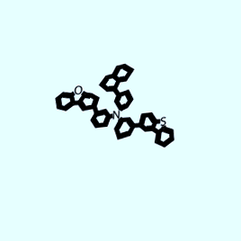 c1cc(-c2ccc3oc4ccccc4c3c2)cc(N(c2cccc(-c3ccc4sc5ccccc5c4c3)c2)c2cccc(-c3cccc4ccccc34)c2)c1